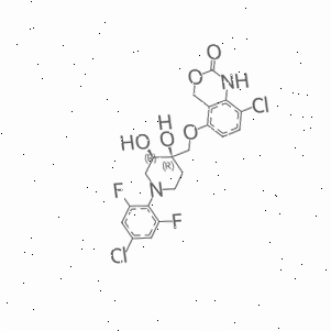 O=C1Nc2c(Cl)ccc(OC[C@]3(O)CCN(c4c(F)cc(Cl)cc4F)C[C@H]3O)c2CO1